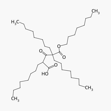 CCCCCCCCOC(=O)C(CCCCCCCC)(CCCCCCCC)C(=O)C(CCCCCCCC)C(=O)O